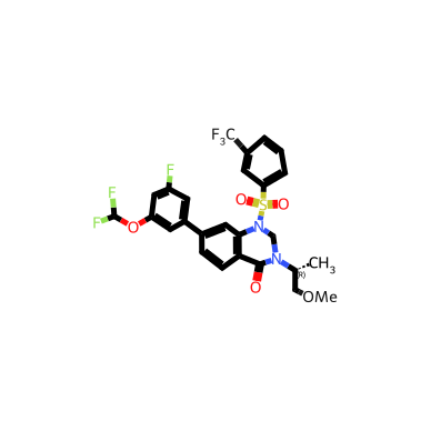 COC[C@@H](C)N1CN(S(=O)(=O)c2cccc(C(F)(F)F)c2)c2cc(-c3cc(F)cc(OC(F)F)c3)ccc2C1=O